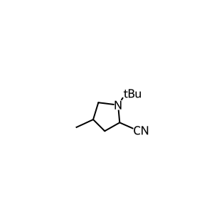 CC1CC(C#N)N(C(C)(C)C)C1